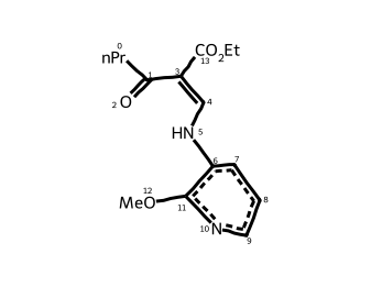 CCCC(=O)C(=CNc1cccnc1OC)C(=O)OCC